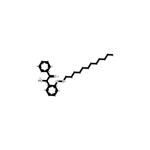 CCCCCCCCCCCCSSc1ccccc1C(O)C(=O)c1ccccc1